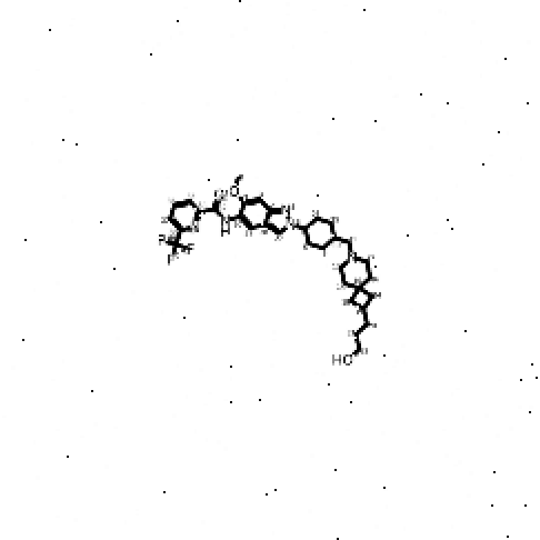 COc1cc2nn(C3CCC(CN4CCC5(CC4)CC(CCCO)C5)CC3)cc2cc1NC(=O)c1cccc(C(F)(F)F)n1